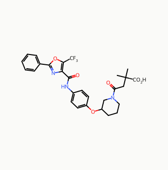 CC(C)(CC(=O)N1CCCC(Oc2ccc(NC(=O)c3nc(-c4ccccc4)oc3C(F)(F)F)cc2)C1)C(=O)O